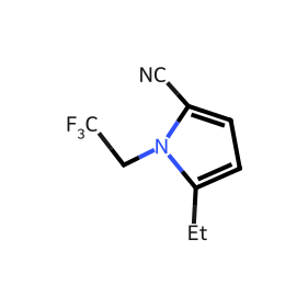 CCc1ccc(C#N)n1CC(F)(F)F